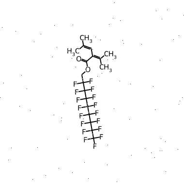 CC(C)=CC(C(=O)OCC(F)(F)C(F)(F)C(F)(F)C(F)(F)C(F)(F)C(F)(F)C(F)(F)C(F)(F)F)=C(C)C